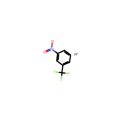 O=[N+]([O-])c1[c]ccc(C(F)(F)F)c1.[H+]